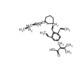 C1CCCCC1.C=C.C=C.C=C.C=Cc1cccc(C=C)c1C=C.CC(C)=C(C)C(=O)O